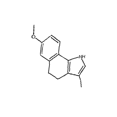 COc1ccc2c(c1)CCc1c(C)c[nH]c1-2